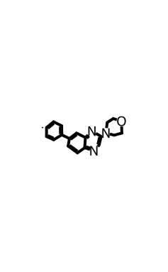 [c]1ccc(-c2ccc3ncc(N4CCOCC4)nc3c2)cc1